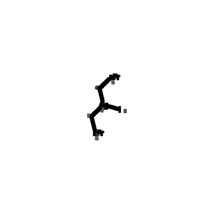 CCC[CH2][Ag]([I])[CH2]CCC